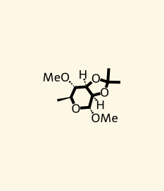 CO[C@@H]1O[C@@H](C)[C@H](OC)[C@H]2OC(C)(C)O[C@@H]12